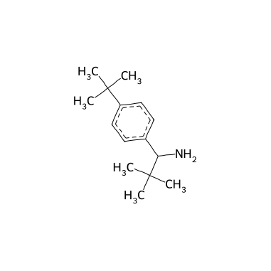 CC(C)(C)c1ccc(C(N)C(C)(C)C)cc1